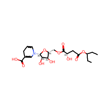 CCC(CC)OC(=O)C[C@H](O)C(=O)OC[C@H]1O[C@@H](N2C=CCC(C(=O)O)=C2)[C@H](O)[C@@H]1O